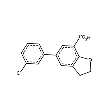 O=C(O)c1cc(-c2cccc(Cl)c2)cc2c1OCC2